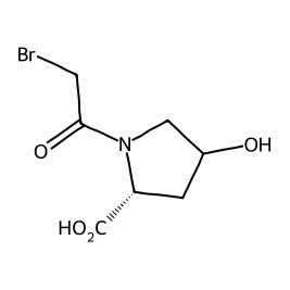 O=C(O)[C@H]1CC(O)CN1C(=O)CBr